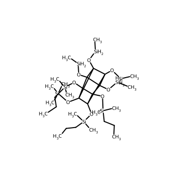 CCC[Si](C)(C)OC12C3(O[SiH2]C)C4(O[SiH2]C)C5(O[SiH2]C)C3(O[SiH2]C)C1(O[Si](C)(C)CCC)C5(O[Si](C)(C)CCC)C42O[Si](C)(C)C